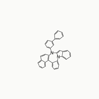 c1ccc(-c2cccc(N3c4ccc5ccccc5c4-c4ccccc4-n4c3cc3ccccc34)c2)cc1